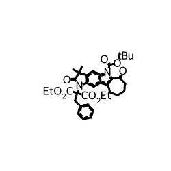 CCOC(=O)C(Cc1ccccc1)(C(=O)OCC)N1C(=O)C(C)(C)c2cc3c(cc21)c1c(n3C(=O)OC(C)(C)C)C(=O)CCCC1